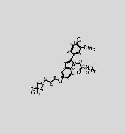 COc1cc(-c2cc3cc(OCCCN4CC5(COC5)C4)ccc3n2CC(=O)NC(C)C)ccc1F